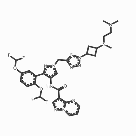 CN(C)CCN(C)C1CC(n2nnc(Cn3cc(NC(=O)c4cnn5cccnc45)c(-c4cc(OC(F)F)ccc4OC(F)F)n3)n2)C1